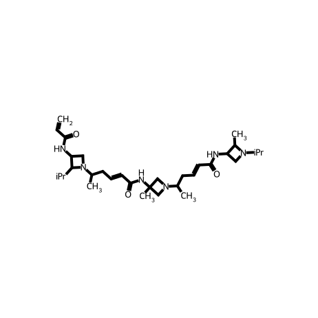 C=CC(=O)NC1CN(C(C)C/C=C/C(=O)NC2(C)CN(C(C)C/C=C/C(=O)NC3CN(C(C)C)C3C)C2)C1C(C)C